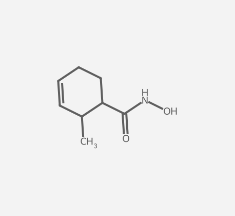 CC1C=CCCC1C(=O)NO